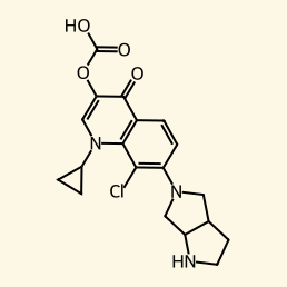 O=C(O)Oc1cn(C2CC2)c2c(Cl)c(N3CC4CCNC4C3)ccc2c1=O